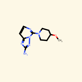 COC1CCN(c2nccc3nc(N)nn23)CC1